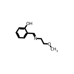 COCC/N=C/c1ccccc1O